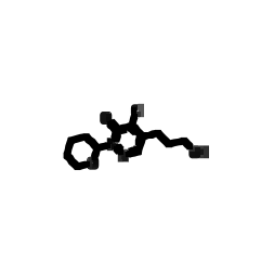 O=c1c(Cl)c(CCCO)cnn1C1CCCCO1